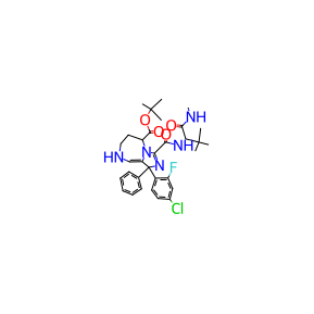 CNC(=O)C(NC(=O)C1=NC(c2ccccc2)(c2ccc(Cl)cc2F)C2=CNCCC(C(=O)OC(C)(C)C)N21)C(C)(C)C